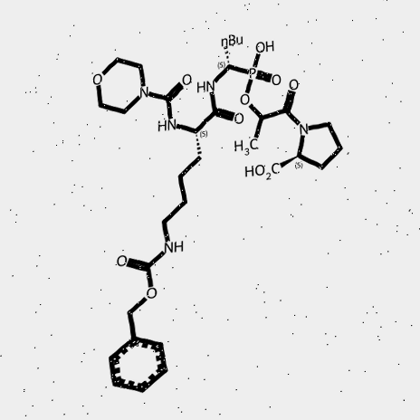 CCCC[C@@H](NC(=O)[C@H](CCCCNC(=O)OCc1ccccc1)NC(=O)N1CCOCC1)P(=O)(O)OC(C)C(=O)N1CCC[C@H]1C(=O)O